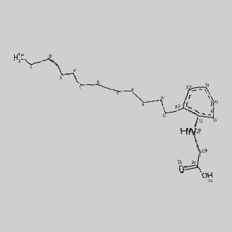 CCCCCCCCCCCCc1ccccc1NCC(=O)O